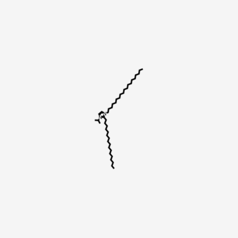 CCCCCCCCCCCCCCCCCCC[n+]1ccn(C(C)C)c1CCCCCCCCCCCCCCCCC